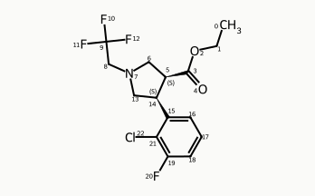 CCOC(=O)[C@@H]1CN(CC(F)(F)F)C[C@@H]1c1cccc(F)c1Cl